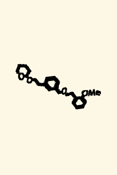 COc1ccccc1CCOCc1cccc(CCOC2CCCCO2)c1